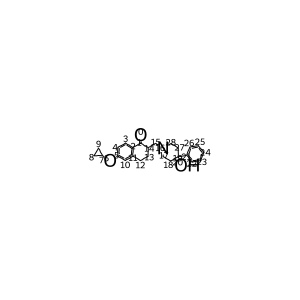 O=C1c2ccc(OC3CC3)cc2CCC1CN1CCC(O)(c2ccccc2)CC1